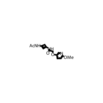 COc1ccc(OCC(=O)NC23CC(NC(C)=O)(C2)C3)cn1